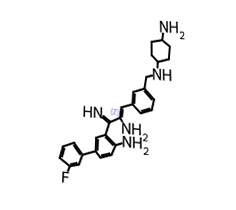 N=C(/C(N)=C/c1cccc(CNC2CCC(N)CC2)c1)c1cc(-c2cccc(F)c2)ccc1N